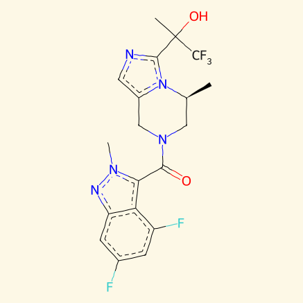 C[C@H]1CN(C(=O)c2c3c(F)cc(F)cc3nn2C)Cc2cnc(C(C)(O)C(F)(F)F)n21